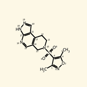 Cc1noc(C)c1S(=O)(=O)N1CCc2c(cnc3[nH]ncc23)C1